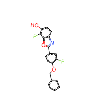 Oc1ccc2nc(-c3ccc(OCc4ccccc4)c(F)c3)oc2c1F